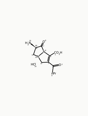 CCCC(=O)C1=C(C(=O)O)N2C(=O)[C@H](N)CN2C1.Cl